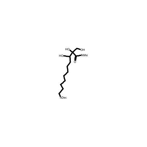 CCCCCCCCCCCCCCCCCCC(O)C(O)(CO)C(=O)NC